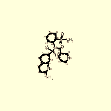 [2H]C([2H])(c1ccc2ccc(N)nc2c1)N(C(=O)c1cccnc1)c1ccccc1S(C)(=O)=O